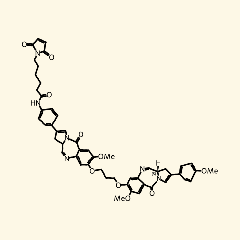 COc1ccc(C2=CN3C(=O)c4cc(OC)c(OCCCOc5cc6c(cc5OC)C(=O)N5C=C(c7ccc(NC(=O)CCCCCN8C(=O)C=CC8=O)cc7)CC5C=N6)cc4N=C[C@@H]3C2)cc1